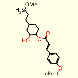 CCCCCOc1ccc(C=CC(=O)OC2CCC(CC[SiH2]OC)CC2O)cc1